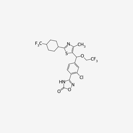 Cc1nc(C2CCC(C(F)(F)F)CC2)sc1C(OCC(F)(F)F)c1ccc(-c2noc(=O)[nH]2)c(Cl)c1